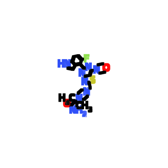 CC(C)(C(N)=O)N1CCN(Cc2nc3nc(-c4c(F)ccc5[nH]ccc45)nc(N4CCOCC4)c3s2)CC1